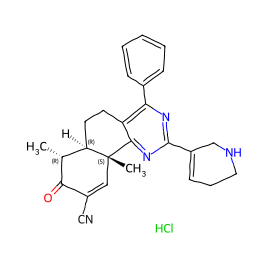 C[C@H]1C(=O)C(C#N)=C[C@@]2(C)c3nc(C4=CCCNC4)nc(-c4ccccc4)c3CC[C@H]12.Cl